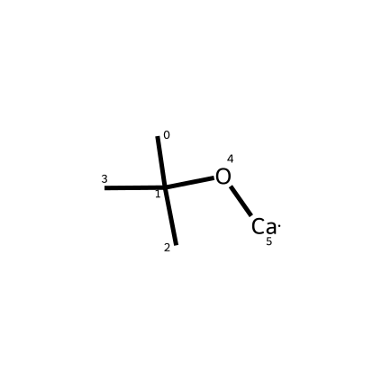 CC(C)(C)[O][Ca]